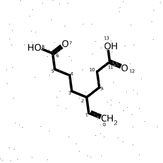 C=CC(CCCC(=O)O)CCC(=O)O